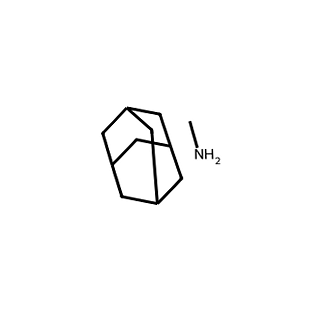 C1C2CC3CC1CC(C2)C3.CN